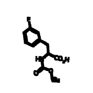 CC(C)(C)OC(=O)NC(Cc1cccc(F)c1)C(=O)O